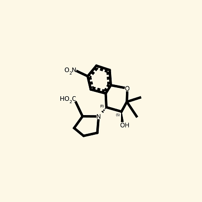 CC1(C)Oc2ccc([N+](=O)[O-])cc2[C@@H](N2CCCC2C(=O)O)[C@@H]1O